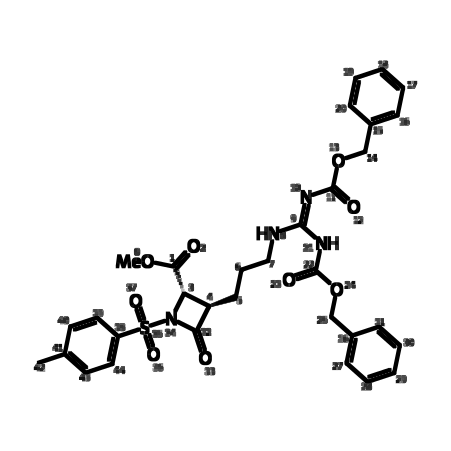 COC(=O)[C@@H]1[C@@H](CCCNC(=NC(=O)OCc2ccccc2)NC(=O)OCc2ccccc2)C(=O)N1S(=O)(=O)c1ccc(C)cc1